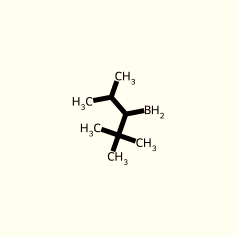 BC(C(C)C)C(C)(C)C